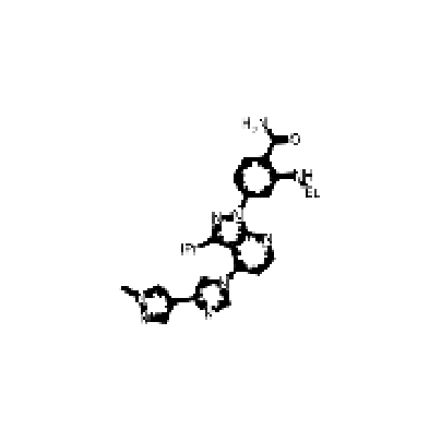 CCNc1cc(-n2nc(C(C)C)c3c(-n4cnc(-c5cnn(C)c5)c4)ccnc32)ccc1C(N)=O